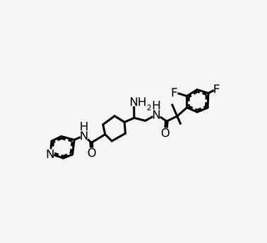 CC(C)(C(=O)NCC(N)C1CCC(C(=O)Nc2ccncc2)CC1)c1ccc(F)cc1F